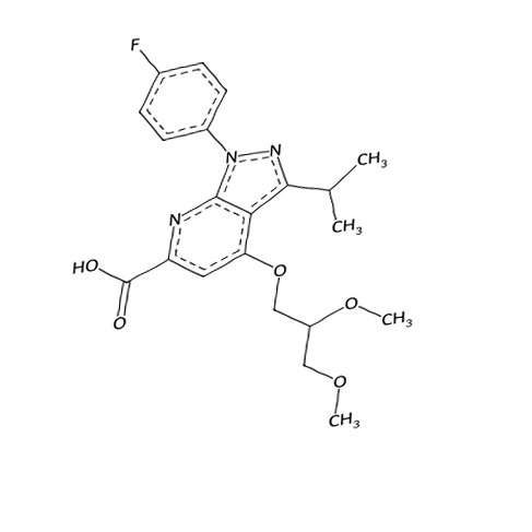 COCC(COc1cc(C(=O)O)nc2c1c(C(C)C)nn2-c1ccc(F)cc1)OC